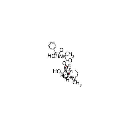 C[C@H](NC(=O)[C@@H](O)c1ccccc1)C(=O)OC1=CC[C@@]2(O)[C@H]3Cc4ccc(O)c5c4[C@@]2(CCCN3C)[C@H]1O5